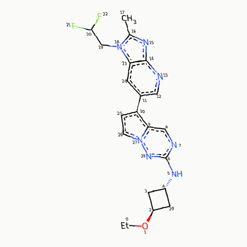 CCO[C@H]1C[C@H](Nc2ncc3c(-c4cnc5nc(C)n(CC(F)F)c5c4)ccn3n2)C1